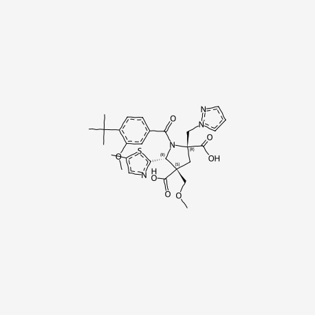 COC[C@]1(C(=O)O)C[C@@](Cn2cccn2)(C(=O)O)N(C(=O)c2ccc(C(C)(C)C)c(OC)c2)[C@H]1c1ncc(C)s1